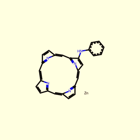 C1=CC2=NC1=CC1=NC(=CC3=NC(=CC4=NC(=C2)C=C4)C=C3Nc2ccccc2)C=C1.[Zn]